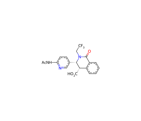 CC(=O)Nc1ccc([C@H]2[C@@H](C(=O)O)c3ccccc3C(=O)N2CC(F)(F)F)cn1